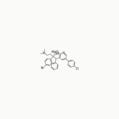 COc1ncc(-c2ccc(Cl)cc2)cc1C(c1ccccc1)C(O)(CCN(C)C)c1ccc(Br)cc1